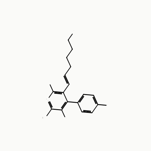 CCc1c(C(C)C)nc(C(C)C)c(/C=C/CCCCC(C)=O)c1-c1ccc(F)cc1